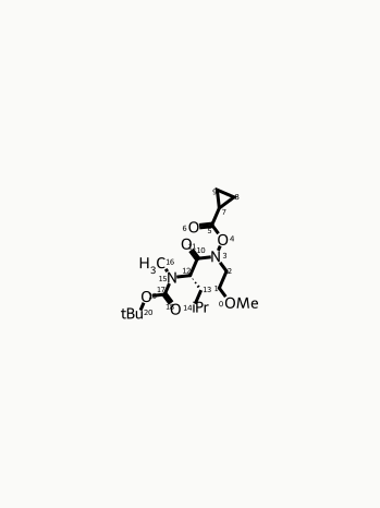 COCCN(OC(=O)C1CC1)C(=O)[C@H](CC(C)C)N(C)C(=O)OC(C)(C)C